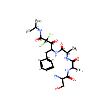 CC(NC(=O)C(N)CO)C(=O)NC(C)C(=O)NC(Cc1ccccc1)C(=O)C(F)(F)C(=O)NC([C]=O)C(C)C